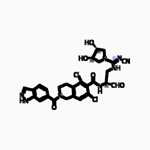 N#C/N=C(\NC[C@@H](C=O)NC(=O)c1c(Cl)cc2c(c1Cl)CCN(C(=O)c1ccc3cn[nH]c3c1)C2)N1C[C@@H](O)[C@H](O)C1